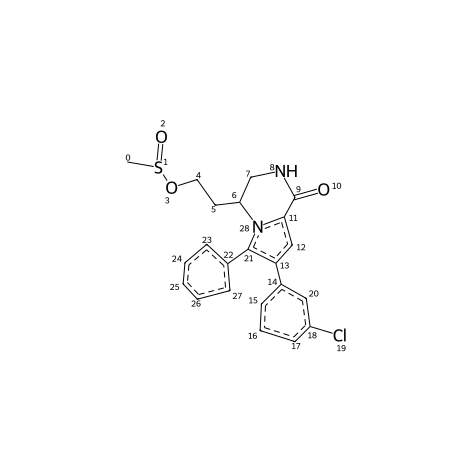 CS(=O)OCCC1CNC(=O)c2cc(-c3cccc(Cl)c3)c(-c3ccccc3)n21